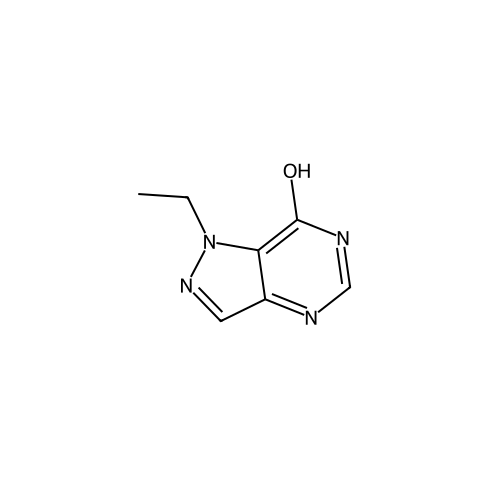 CCn1ncc2ncnc(O)c21